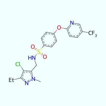 CCc1nn(C)c(CNS(=O)(=O)c2ccc(Oc3ccc(C(F)(F)F)cn3)cc2)c1Cl